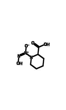 O=C(O)C1CCCCN1/[N+]([O-])=N\O